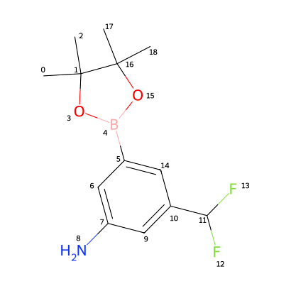 CC1(C)OB(c2cc(N)cc(C(F)F)c2)OC1(C)C